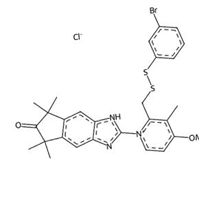 COc1cc[n+](-c2nc3cc4c(cc3[nH]2)C(C)(C)C(=O)C4(C)C)c(CSSc2cccc(Br)c2)c1C.[Cl-]